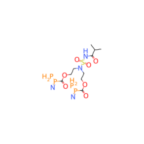 CC(C)C(=O)NS(=O)(=O)N(CCOC(=O)P(#N)P)CCOC(=O)P(#N)P